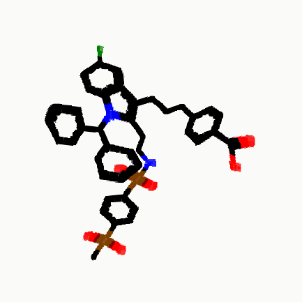 CS(=O)(=O)c1ccc(S(=O)(=O)NCCc2c(CCCc3ccc(C(=O)O)cc3)c3cc(Cl)ccc3n2C(c2ccccc2)c2ccccc2)cc1